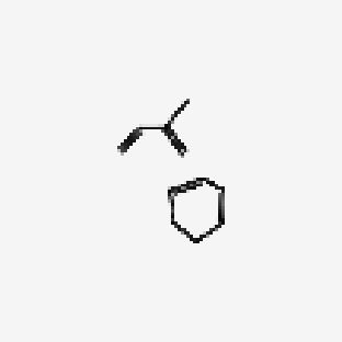 C1=CCCC=C1.C=CC(=C)C